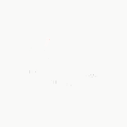 CO/C(=C/C1C(C(=O)Cl)C1(C)C)C(F)(F)F